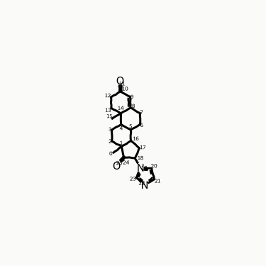 CC12CCC3C(CCC4=CC(=O)CCC43C)C1CC(n1ccnc1)C2=O